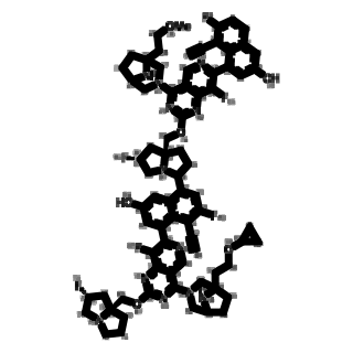 C#Cc1c(F)ccc2cc(O)cc(-c3ncc4c(N5CC6CCC(CCOC)(C5)N6)nc(OC[C@@]56CCC(c7cc(F)c(C#C)c8c(-c9ncc%10c(N%11CC%12CCC(CCOC%13CC%13)(C%11)N%12)nc(OC[C@@]%11%12CCCN%11C[C@H](F)C%12)nc%10c9F)cc(O)cc78)N5C[C@H](F)C6)nc4c3F)c12